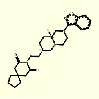 O=C1CC2(CCCC2)CC(=O)N1CC[C@H]1CC[C@@H]2CN(c3noc4ccccc34)CCN2C1